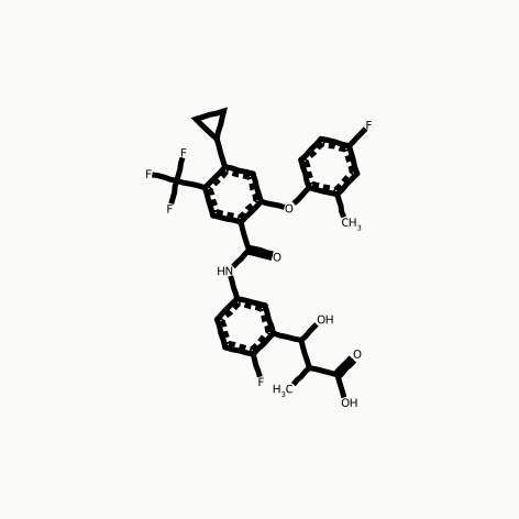 Cc1cc(F)ccc1Oc1cc(C2CC2)c(C(F)(F)F)cc1C(=O)Nc1ccc(F)c(C(O)C(C)C(=O)O)c1